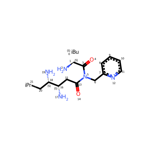 CC[C@H](C)[C@H](N)C(=O)N(Cc1ccccn1)C(=O)C[C@H](N)[C@@H](N)CC(C)C